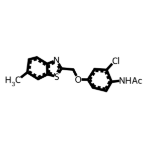 CC(=O)Nc1ccc(OCc2nc3ccc(C)cc3s2)cc1Cl